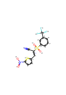 N#C/C(=C\c1ccc([N+](=O)[O-])s1)S(=O)(=O)c1cccc(C(F)(F)F)c1